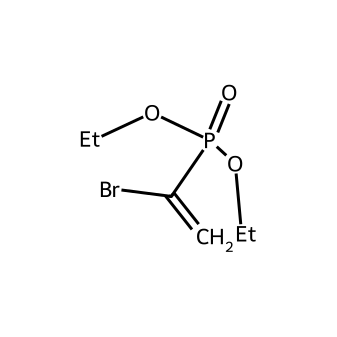 C=C(Br)P(=O)(OCC)OCC